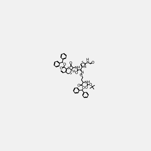 C=CC1=C(C(=O)OC(c2ccccc2)c2ccccc2)N2C(=O)C(NC(=O)/C(=N\OCCC(NC(=O)OC(C)(C)C)C(=O)OC(c3ccccc3)c3ccccc3)c3csc(NC=O)n3)[C@H]2SC1